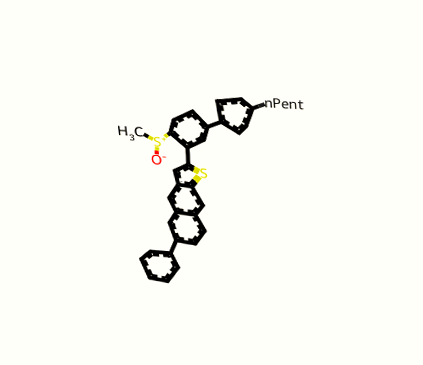 CCCCCc1ccc(-c2ccc([S+](C)[O-])c(-c3cc4cc5cc(-c6ccccc6)ccc5cc4s3)c2)cc1